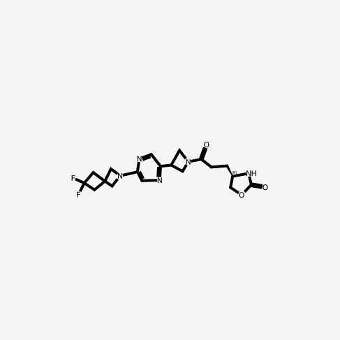 O=C1N[C@H](CCC(=O)N2CC(c3cnc(N4CC5(C4)CC(F)(F)C5)cn3)C2)CO1